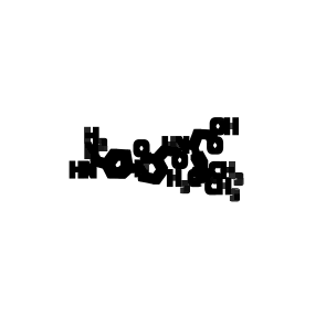 C[Si](C)(C)C#C[C@H](CC(=O)O)NC(=O)CC1CCCN(c2ccc(C(=N)N)cc2)C1=O